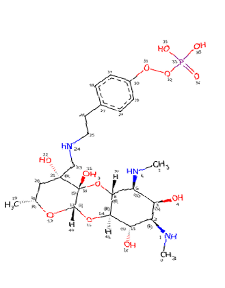 CN[C@@H]1[C@H](O)[C@H](NC)[C@H]2O[C@]3(O)[C@H](O[C@@H]2[C@H]1O)O[C@H](C)C[C@@]3(O)CNCCc1ccc(OOP(=O)(O)O)cc1